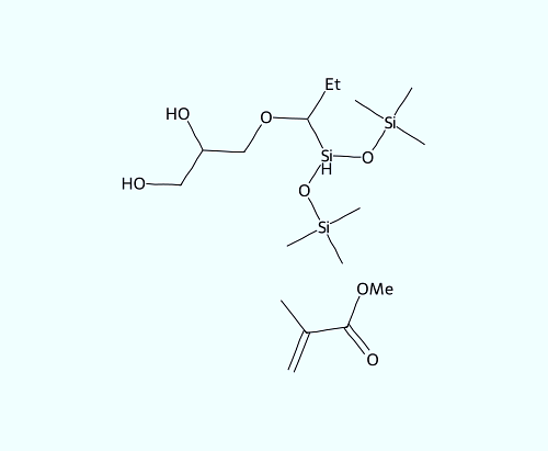 C=C(C)C(=O)OC.CCC(OCC(O)CO)[SiH](O[Si](C)(C)C)O[Si](C)(C)C